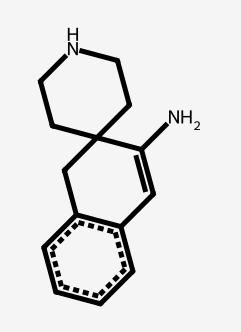 NC1=Cc2ccccc2CC12CCNCC2